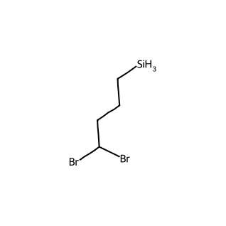 [SiH3]CCCC(Br)Br